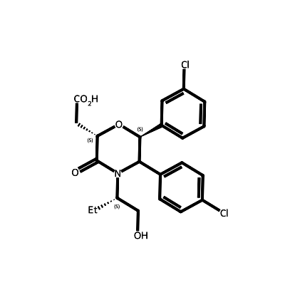 CC[C@@H](CO)N1C(=O)[C@H](CC(=O)O)O[C@@H](c2cccc(Cl)c2)C1c1ccc(Cl)cc1